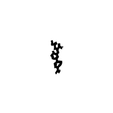 C=C(CC)C/C(=C\c1cc(-c2ccc(C(=C)C)cc2)ccc1C)C(=C)C